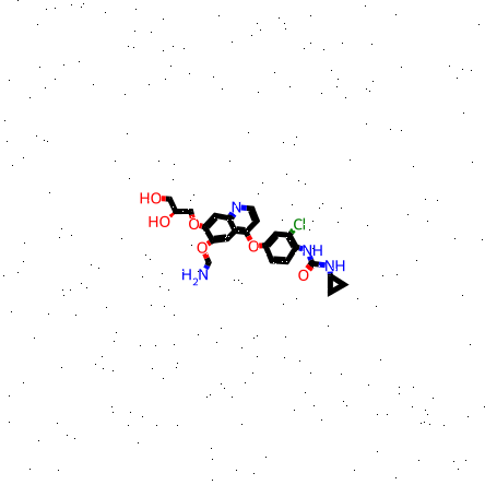 NCOc1cc2c(Oc3ccc(NC(=O)NC4CC4)c(Cl)c3)ccnc2cc1OC[C@@H](O)CO